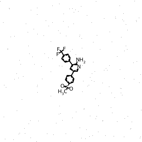 CS(=O)(=O)c1ccc(-c2cnc(N)c(-c3ccc(C(F)(F)F)cc3)c2)cc1